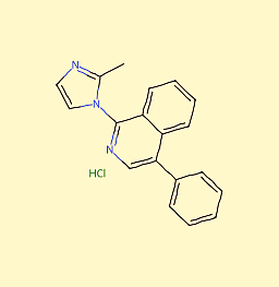 Cc1nccn1-c1ncc(-c2ccccc2)c2ccccc12.Cl